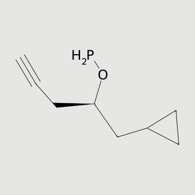 C#CC[C@H](CC1CC1)OP